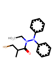 CC(CS)C(=O)N(CC(=O)O)N(c1ccccc1)c1ccccc1